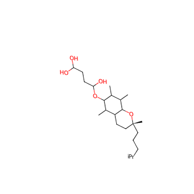 CC(C)CCC[C@]1(C)CCC2C(C)C(OC(O)CCC(O)O)C(C)C(C)C2O1